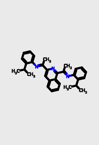 CC(=Nc1ccccc1C(C)C)c1cc2ccccc2c(C(C)=Nc2ccccc2C(C)C)n1